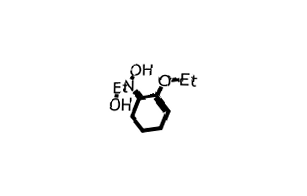 CCO.CCOC1=CCCC/C1=N/O